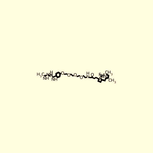 CC(=N)NCNC(=N)c1ccc(OCCOCCOCCOCCNCC(=O)CCC2=[N+](B(F)F)/C(=C\c3[nH]c(C)cc3C)C=C2)cc1